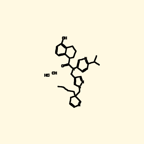 CCCCC1(Cn2cc(CN(C(=O)C3CCCc4c(O)cccc43)c3ccc(C(C)C)nc3)cn2)C=NC=CC1.Cl.Cl